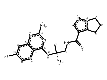 CCCC[C@](C)(CNC(=O)c1cnn2c1CCC2)Nc1nc(N)nc2cc(F)cnc12